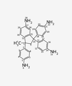 CC1(c2ccc(N)cc2)CC(c2ccc(N)cc2)(c2ccc(N)cc2)c2cc(N)ccc21